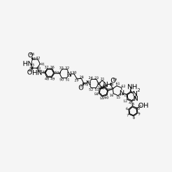 Nc1nnc(-c2ccccc2O)cc1N1CCC(C(=O)N2CC3(CCN(C(=O)CCCN4CCC(c5ccc(NC6CCC(=O)NC6=O)cc5)CC4)CC3)C2)(c2ccccc2)CC1